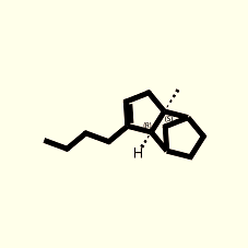 CCCCC1=CC[C@@]2(C)C3CCC(C3)[C@@H]12